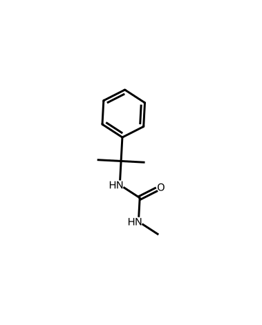 CNC(=O)NC(C)(C)c1ccccc1